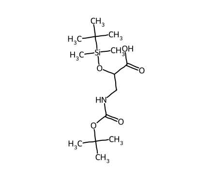 CC(C)(C)OC(=O)NCC(O[Si](C)(C)C(C)(C)C)C(=O)O